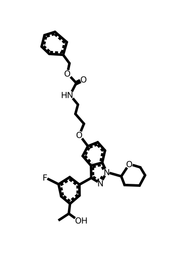 CC(O)c1cc(F)cc(-c2nn(C3CCCCO3)c3ccc(OCCCNC(=O)OCc4ccccc4)cc23)c1